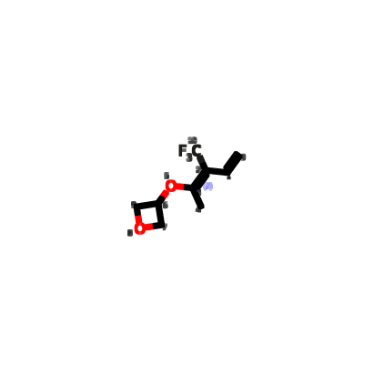 C=C/C(=C(\C)OC1COC1)C(F)(F)F